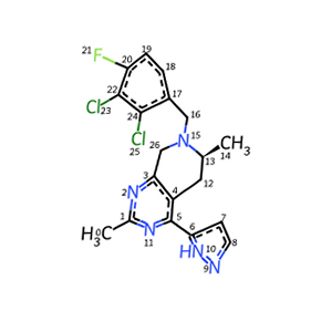 Cc1nc2c(c(-c3ccn[nH]3)n1)C[C@H](C)N(Cc1ccc(F)c(Cl)c1Cl)C2